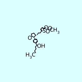 CCCCC[C@H](O)c1ccc([C@H]2C(=O)CC[C@@H]2CCCc2ccc(OC(=O)OC)s2)cc1